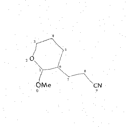 COC1OCCCC1CCC#N